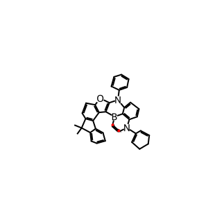 CC1(C)c2ccccc2-c2c1ccc1oc3c(c21)B1c2ccccc2N(C2=CCCC=C2)c2cccc(c21)N3c1ccccc1